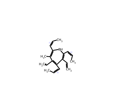 C=CC1=C(/C=C\C)BC(/C=C\C)=C(C)C(C=C)=C1/C=C\C